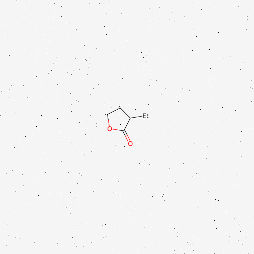 CCC1C[CH]OC1=O